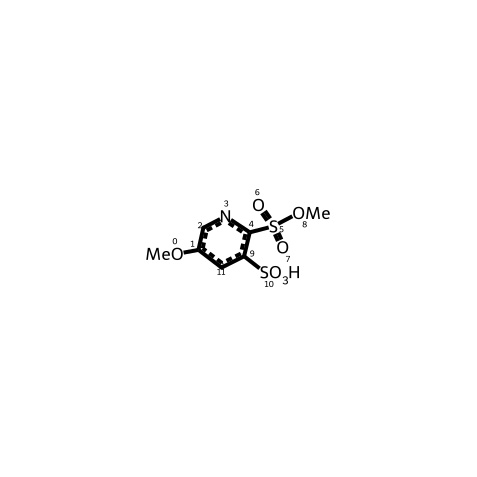 COc1cnc(S(=O)(=O)OC)c(S(=O)(=O)O)c1